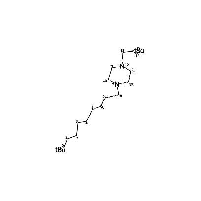 CC(C)(C)CCCCCCCCN1CCN(CC(C)(C)C)CC1